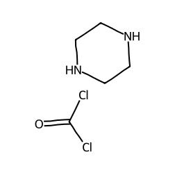 C1CNCCN1.O=C(Cl)Cl